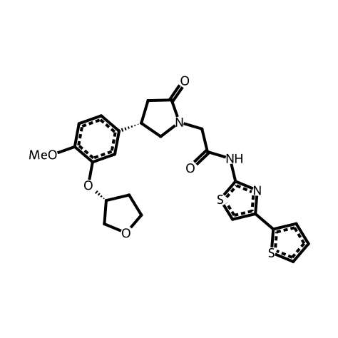 COc1ccc([C@@H]2CC(=O)N(CC(=O)Nc3nc(-c4cccs4)cs3)C2)cc1O[C@@H]1CCOC1